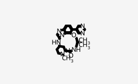 CN1CCC2C[C@H]1C(=O)NCC(C)(C)COc1c(-c3cncnc3)ccc3ncc(nc13)N2